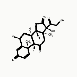 C=C1C[C@H]2[C@@H]3C[C@H](F)C4=CC(=O)C=C[C@]4(C)[C@H]3C(=O)C[C@]2(C)[C@@]1(O)C(=O)CO